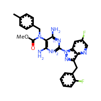 C=C(/N=C(/N)C(=C(N)N)N(Cc1ccc(C)cc1)C(=O)OC)n1nc(Cc2ccccc2F)c2ncc(F)cc21